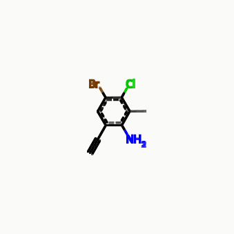 C#Cc1cc(Br)c(Cl)c(C)c1N